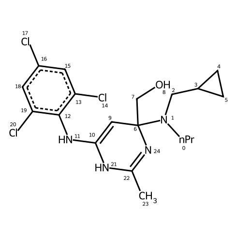 CCCN(CC1CC1)C1(CO)C=C(Nc2c(Cl)cc(Cl)cc2Cl)NC(C)=N1